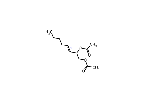 CCCC/C=C/C(COC(C)=O)OC(C)=O